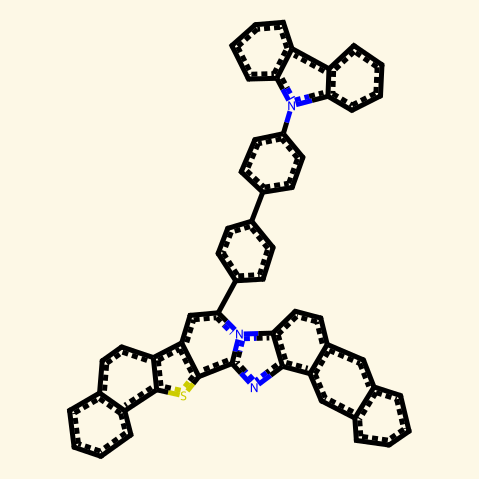 c1ccc2cc3c(ccc4c3nc3c5sc6c7ccccc7ccc6c5cc(-c5ccc(-c6ccc(-n7c8ccccc8c8ccccc87)cc6)cc5)n43)cc2c1